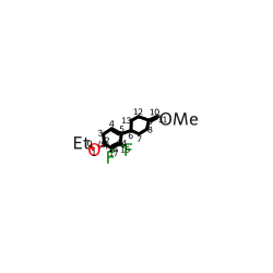 CCO[C@H]1CC=C(C2CCC(=COC)CC2)C(F)=C1F